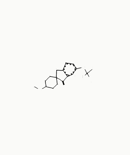 COC1CCC2(CC1)Cc1ccc(OC(F)(F)F)cc1C2=O